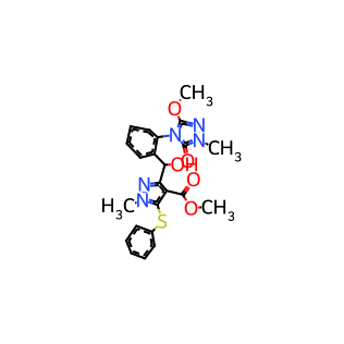 COC(=O)c1c(C(O)c2ccccc2-n2c(OC)nn(C)c2=O)nn(C)c1Sc1ccccc1